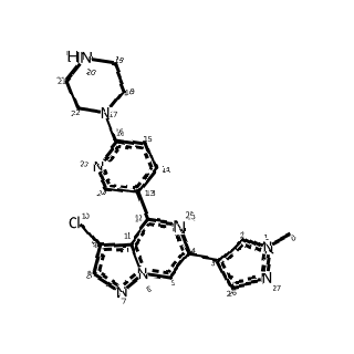 Cn1cc(-c2cn3ncc(Cl)c3c(-c3ccc(N4CCNCC4)nc3)n2)cn1